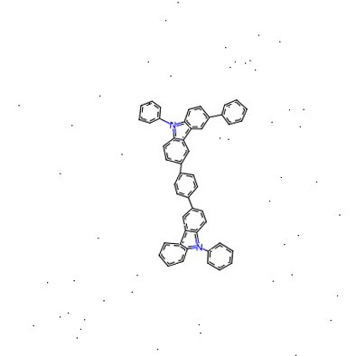 c1ccc(-c2ccc3c(c2)c2cc(-c4ccc(-c5ccc6c(c5)c5ccccc5n6-c5ccccc5)cc4)ccc2n3-c2ccccc2)cc1